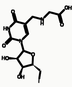 O=C(O)CNCc1cn(C2O[C@H](CI)[C@@H](O)[C@H]2O)c(=O)[nH]c1=O